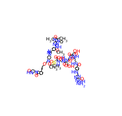 CC[C@@H]1C(=O)N(C)c2cnc(Nc3ccc(-c4cn([C@H]5CC[C@@H](N(CCOCCC#Cc6cccc7c6CN(C6CCC(=O)NC6)C7=O)C(=O)OC(C)C(C)SSC[C@@H](NC(=O)CNC(=O)[C@@H](CC(=O)O)NC(=O)CNC(=O)[C@@H](CC(=O)O)NC(=O)CCCNC(=O)c6ccc(NCc7cnc8nc(N)[nH]c(=O)c8n7)cc6)C(=O)O)CC5)nn4)cc3OC)nc2N1C1CCCC1